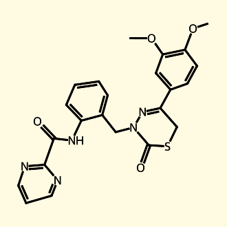 COc1ccc(C2=NN(Cc3ccccc3NC(=O)c3ncccn3)C(=O)SC2)cc1OC